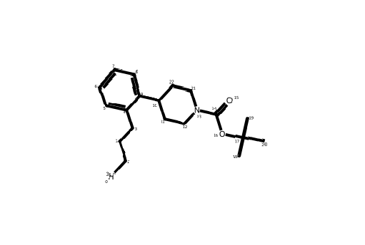 [3H]CCCc1ccccc1C1CCN(C(=O)OC(C)(C)C)CC1